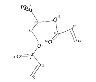 C=CC(=O)OCC(CCCC)OC(=O)C=C